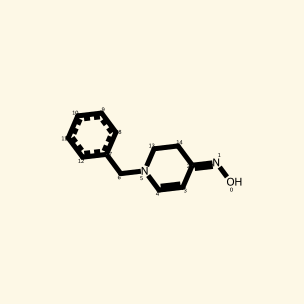 O/N=C1\C=CN(Cc2ccccc2)CC1